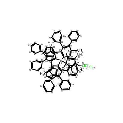 CC1=C(C)C(C)([Si](c2cc(C)c(-c3ccccc3)c(-c3ccccc3)c2-c2ccccc2)(c2cc(C)c(-c3ccccc3)c(-c3ccccc3)c2-c2ccccc2)c2cc(C)c(-c3ccccc3)c(-c3ccccc3)c2-c2ccccc2)[C]([Ti+3])=C1C.[Cl-].[Cl-].[Cl-]